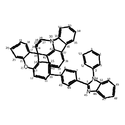 c1ccc(-n2c(-c3ccc(-c4ccc5c(c4)C4(c6ccccc6O5)c5ccccc5-n5c6ccccc6c6cccc4c65)cc3)nc3ccccc32)cc1